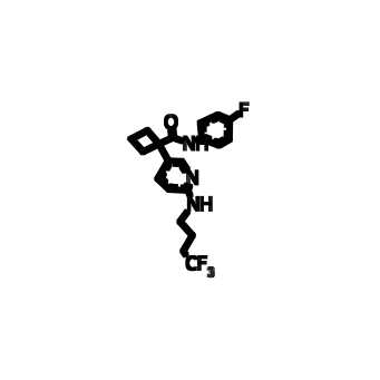 O=C(Nc1ccc(F)cc1)C1(c2ccc(NCCCC(F)(F)F)nc2)CCC1